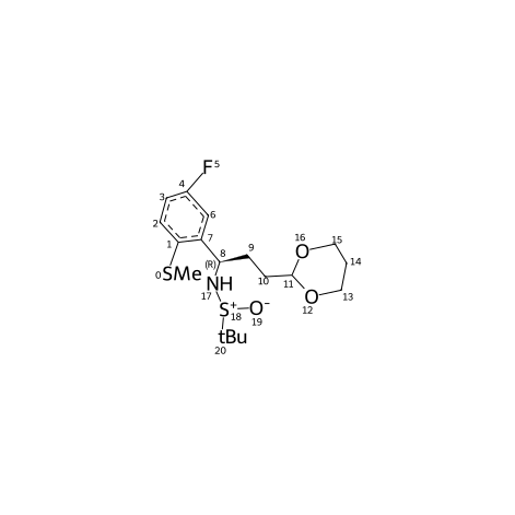 CSc1ccc(F)cc1[C@@H](CCC1OCCCO1)N[S+]([O-])C(C)(C)C